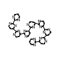 c1cnc(-c2ccnc(-c3ccnc(-c4ccnc(-c5ccnc(-c6ccnc(-c7ccnc(-c8ccnc(-c9ncccn9)n8)n7)n6)n5)n4)n3)n2)nc1